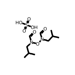 CC(C)CN(C=O)ON(C=O)CC(C)C.O=S(=O)(O)O